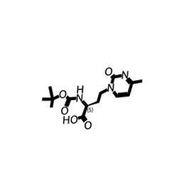 Cc1ccn(CC[C@H](NC(=O)OC(C)(C)C)C(=O)O)c(=O)n1